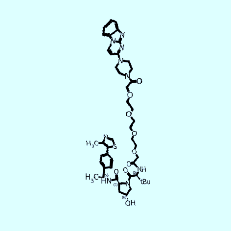 Cc1ncsc1-c1ccc([C@H](C)NC(=O)[C@@H]2C[C@@H](O)CN2C(=O)[C@@H](NC(=O)COCCOCCOCCOCC(=O)N2CCN(c3ccn4c(n3)nc3ccccc34)CC2)C(C)(C)C)cc1